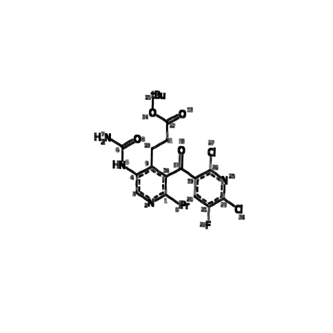 CC(C)c1ncc(NC(N)=O)c(CCC(=O)OC(C)(C)C)c1C(=O)c1cc(F)c(Cl)nc1Cl